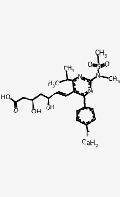 CC(C)c1nc(N(C)S(C)(=O)=O)nc(-c2ccc(F)cc2)c1/C=C/[C@@H](O)C[C@@H](O)CC(=O)O.[CaH2]